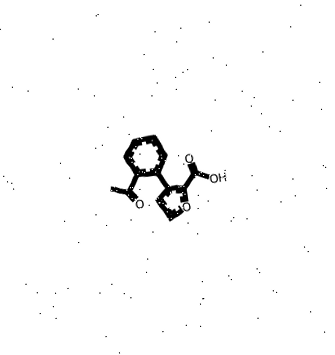 CC(=O)c1ccccc1-c1ccoc1C(=O)O